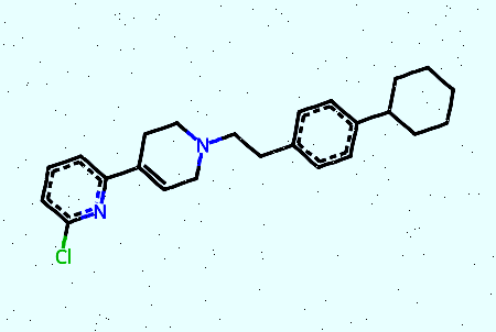 Clc1cccc(C2=CCN(CCc3ccc(C4CCCCC4)cc3)CC2)n1